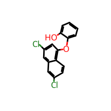 Oc1ccccc1Oc1cc(Cl)cc2cc(Cl)ccc12